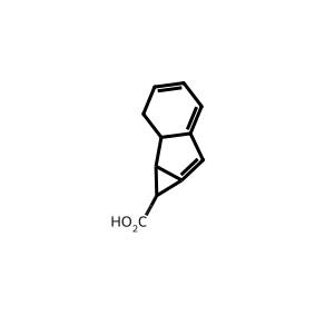 O=C(O)C1C2=CC3=CC=CCC3C21